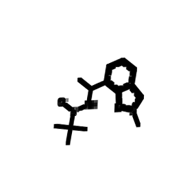 CC(N[S+]([O-])C(C)(C)C)c1cccc2cn(C)nc12